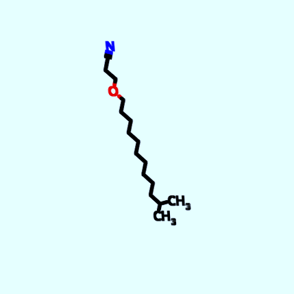 CC(C)CCCCCCCCCCOCCC#N